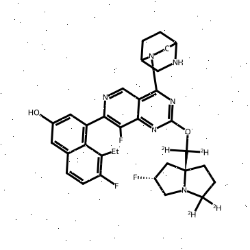 [2H]C1([2H])CC[C@@]2(C([2H])([2H])Oc3nc(N4CC5CCC4CN5)c4cnc(-c5cc(O)cc6ccc(F)c(CC)c56)c(F)c4n3)C[C@@H](F)CN12